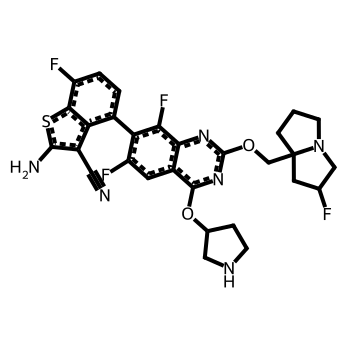 N#Cc1c(N)sc2c(F)ccc(-c3c(F)cc4c(OC5CCNC5)nc(OCC56CCCN5CC(F)C6)nc4c3F)c12